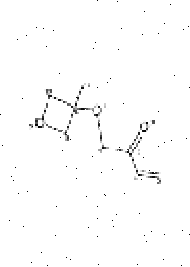 C=CC(=O)COC1(C)COC1